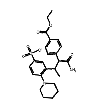 CCOC(=O)c1ccc(C(C(N)=O)C(C)c2cc(S(=O)(=O)Cl)ccc2N2CCCCC2)cc1